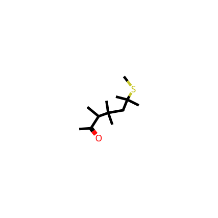 CSC(C)(C)CC(C)(C)C(C)C(C)=O